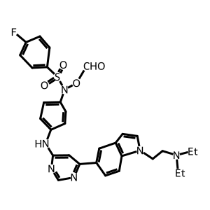 CCN(CC)CCn1ccc2cc(-c3cc(Nc4ccc(N(OC=O)S(=O)(=O)c5ccc(F)cc5)cc4)ncn3)ccc21